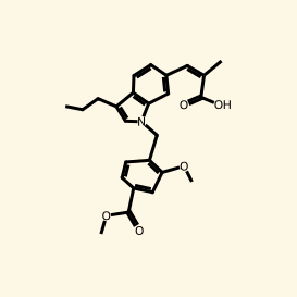 CCCc1cn(Cc2ccc(C(=O)OC)cc2OC)c2cc(C=C(C)C(=O)O)ccc12